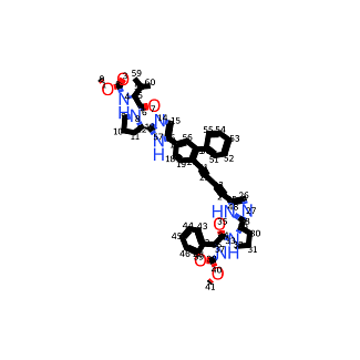 COC(=O)N[C@H](C(=O)N1CCC[C@H]1c1ncc(-c2ccc(C#CC#Cc3cnc(C4CCCN4C(=O)[C@H](NC(=O)OC)c4ccccc4)[nH]3)c(-c3ccccc3)c2)[nH]1)C(C)C